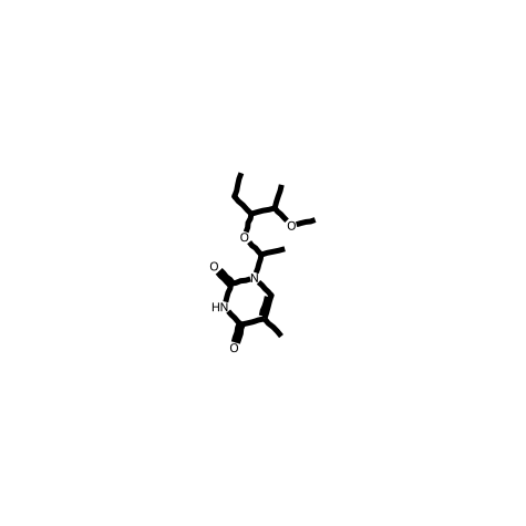 CCC(OC(C)n1cc(C)c(=O)[nH]c1=O)C(C)OC